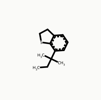 CCC(C)(C)c1cccc2c1SCC2